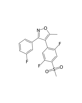 Cc1onc(-c2cccc(F)c2)c1-c1cc(F)c(S(C)(=O)=O)cc1F